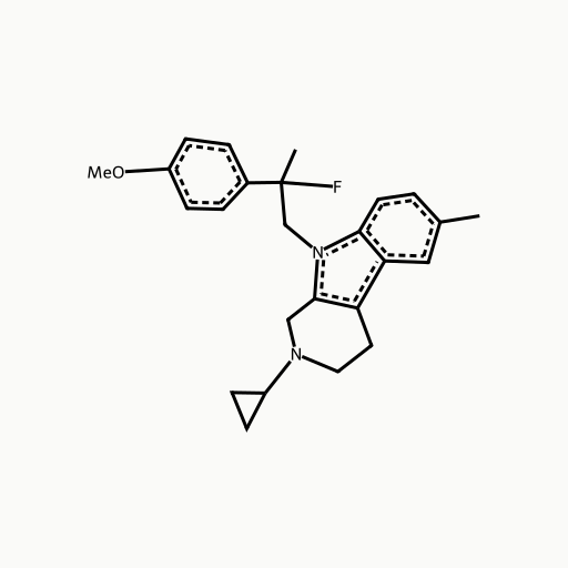 COc1ccc(C(C)(F)Cn2c3c(c4cc(C)ccc42)CCN(C2CC2)C3)cc1